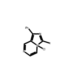 CC(C)C1=C2C=NC=C[N+]2(Cl)C(I)=N1